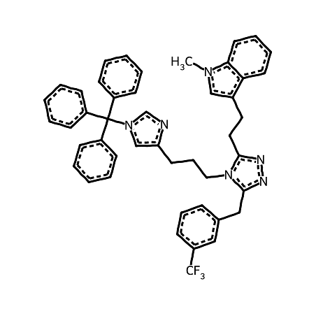 Cn1cc(CCc2nnc(Cc3cccc(C(F)(F)F)c3)n2CCCc2cn(C(c3ccccc3)(c3ccccc3)c3ccccc3)cn2)c2ccccc21